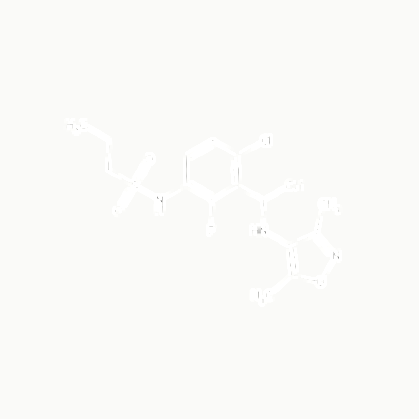 CCCS(=O)(=O)Nc1ccc(Cl)c(C(O)Nc2c(C)noc2C)c1F